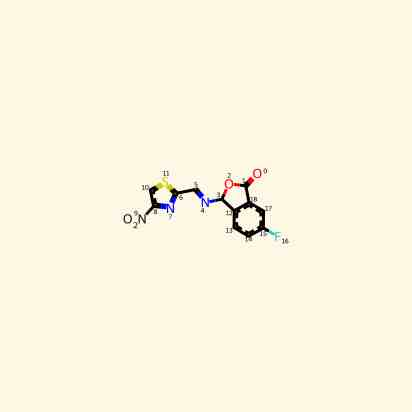 O=C1OC(N=Cc2nc([N+](=O)[O-])cs2)c2ccc(F)cc21